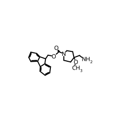 COC1(CN)CCN(C(=O)OCC2c3ccccc3-c3ccccc32)CC1